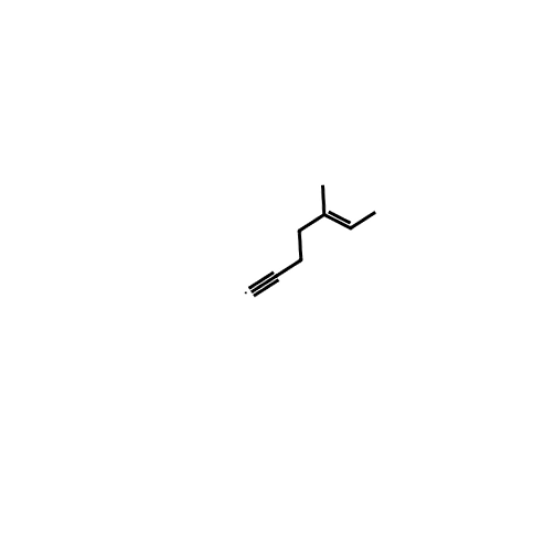 [C]#CCCC(C)=CC